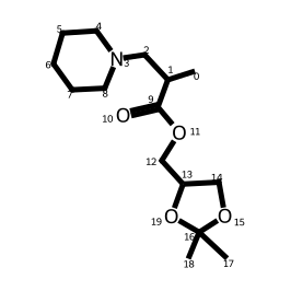 CC(CN1CCCCC1)C(=O)OCC1COC(C)(C)O1